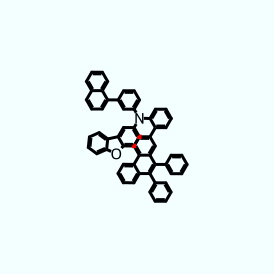 c1ccc(-c2c(-c3ccccc3)c3cc(-c4ccccc4N(c4cccc(-c5cccc6ccccc56)c4)c4ccc5oc6ccccc6c5c4)ccc3c3ccccc23)cc1